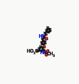 CS(=O)(=O)NCc1cc(CC(=O)O)ccc1Oc1ccc(CC(=O)NCCc2ccccc2)cc1